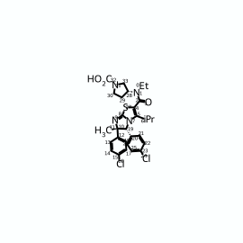 CCN(C(=O)C1=C(C(C)C)N2C(=N[C@@](C)(c3ccc(Cl)cc3)[C@H]2c2ccc(Cl)cc2)S1)[C@@H]1CCN(C(=O)O)C1